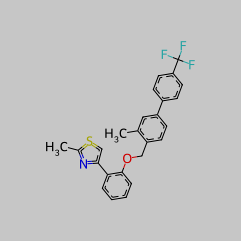 Cc1nc(-c2ccccc2OCc2ccc(-c3ccc(C(F)(F)F)cc3)cc2C)cs1